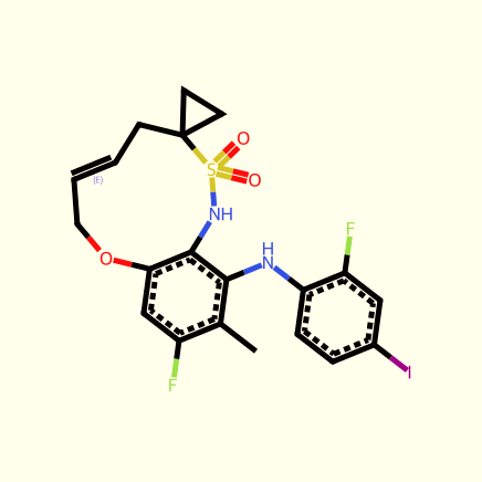 Cc1c(F)cc2c(c1Nc1ccc(I)cc1F)NS(=O)(=O)C1(C/C=C/CO2)CC1